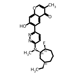 CC[C@@H]1CCC[C@H](F)[C@H](N(C)c2ccc(-c3cc4c(=O)c(C)coc4cc3O)nn2)C1